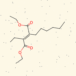 CCCCCCC(C(=O)OCC)=C(CC)C(=O)OCC